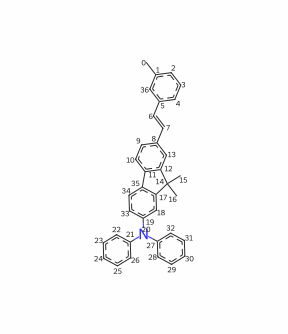 Cc1cccc(/C=C/c2ccc3c(c2)C(C)(C)c2cc(N(c4ccccc4)c4ccccc4)ccc2-3)c1